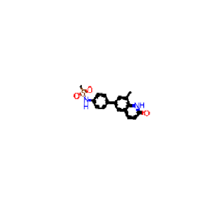 Cc1cc(-c2ccc(NS(C)(=O)=O)cc2)cc2ccc(=O)[nH]c12